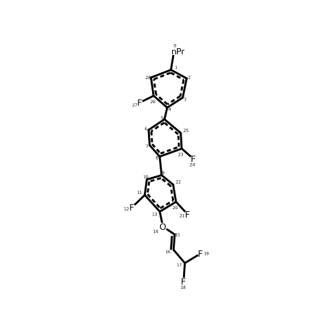 CCCc1ccc(-c2ccc(-c3cc(F)c(O/C=C/C(F)F)c(F)c3)c(F)c2)c(F)c1